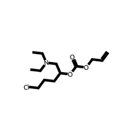 C=CCOC(=O)OC(CCCCl)CN(CC)CC